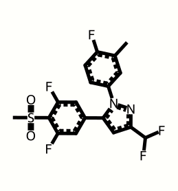 Cc1cc(-n2nc(C(F)F)cc2-c2cc(F)c(S(C)(=O)=O)c(F)c2)ccc1F